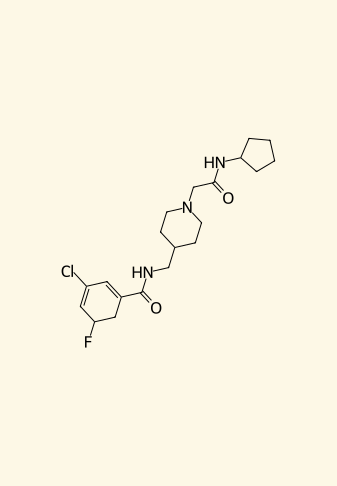 O=C(CN1CCC(CNC(=O)C2=CC(Cl)=CC(F)C2)CC1)NC1CCCC1